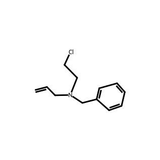 C=CCN(CCCl)Cc1ccccc1